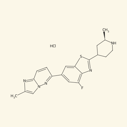 Cc1cn2nc(-c3cc(F)c4nc(C5CCN[C@H](C)C5)sc4c3)ccc2n1.Cl